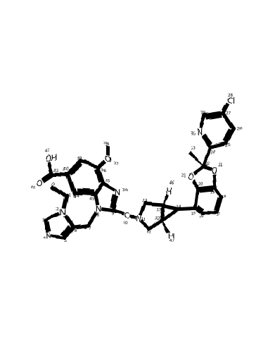 CCn1cncc1Cn1c(CN2C[C@@H]3C(c4cccc5c4O[C@](C)(c4ccc(Cl)cn4)O5)[C@@H]3C2)nc2c(OC)cc(C(=O)O)cc21